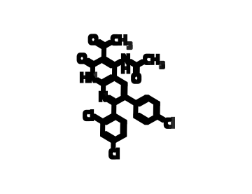 CC(=O)Nc1c(C(C)=O)c(=O)[nH]c2nc(-c3ccc(Cl)cc3Cl)c(-c3ccc(Cl)cc3)cc12